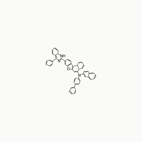 C1=CC2=C(c3ccccc3)N=C(c3ccc4c5c(oc4c3)C=C(N(c3ccc(-c4ccccc4)cc3)c3ccc4ccccc4c3)C3C=CC=CC53)NC2C=C1